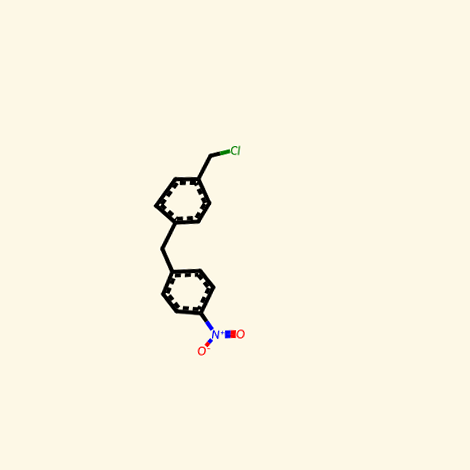 O=[N+]([O-])c1ccc(Cc2ccc(CCl)cc2)cc1